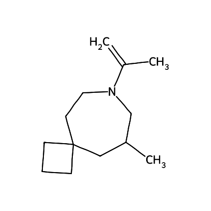 C=C(C)N1CCC2(CCC2)CC(C)C1